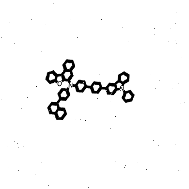 c1ccc(-n2c3ccccc3c3cc(-c4ccc(-c5ccc(N(c6ccc(-c7cccc8ccccc78)cc6)c6cc7ccccc7c7c6oc6ccccc67)cc5)cc4)ccc32)cc1